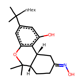 CCCCCCC(C)(C)c1cc(O)c2c(c1)OC(C)(C)[C@H]1CCC(=NO)C[C@@H]21